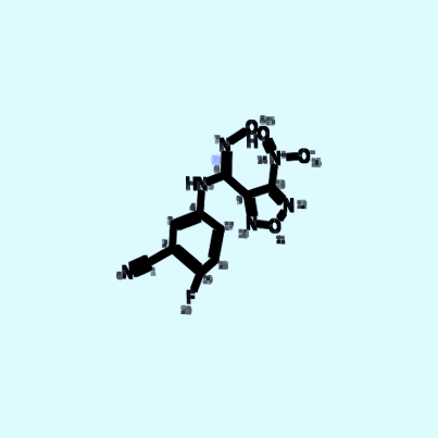 N#Cc1cc(N/C(=N/O)c2nonc2[N+](=O)[O-])ccc1F